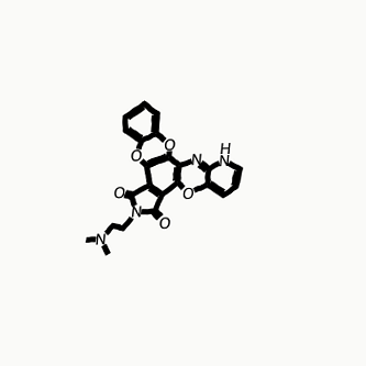 CN(C)CCn1c(=O)c2c3oc4ccc[nH]c-4nc3c3oc4ccccc4oc3c2c1=O